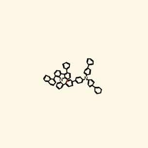 C1=CC(c2ccc(N(c3ccc(-c4ccccc4)cc3)c3ccc(-c4ccc(-c5ccccc5-n5c6cccc(-c7ccccc7)c6c6cccc(-c7cccc8ccccc78)c65)cc4)cc3)cc2)=CCC1